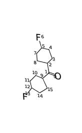 O=C(C1CCC(F)CC1)C1CCC(F)CC1